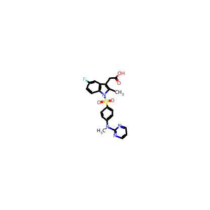 Cc1c(CC(=O)O)c2cc(F)ccc2n1S(=O)(=O)c1ccc(N(C)c2ncccn2)cc1